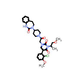 COCC(C)n1c(=O)c(-c2cccc(OC)c2Cl)cn(CC(=O)N2CCC(N3CCc4ccccc4NC3=O)CC2)c1=O